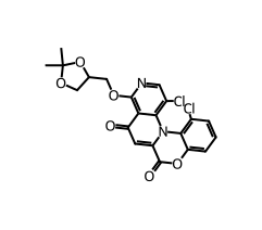 CC1(C)OCC(COc2ncc(Cl)c3c2c(=O)cc2c(=O)oc4cccc(Cl)c4n23)O1